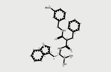 COc1cccc(CNC(=O)C(Cc2ccccc2)C(=O)N[C@@H](Cc2coc3ccccc23)B(O)O)c1